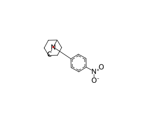 O=[N+]([O-])c1ccc(N2CC3CCC(CC3)C2)cc1